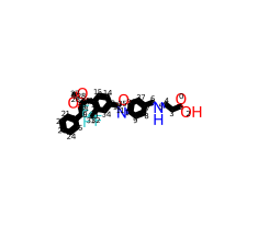 O=C(O)CCNCc1ccc2nc(-c3ccc(C4=C(Cc5ccccc5)OCO4)c(C(F)(F)F)c3)oc2c1